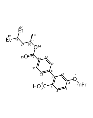 CCCOc1ccc(C(=O)O)c(-c2ccc(C(=O)O[C@H](C)CC(CC)CC)cc2)c1